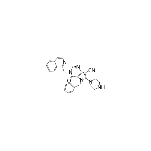 N#Cc1c(N2CCNCC2)n(Cc2ccccc2)c2c(=O)n(Cc3nccc4ccccc34)cnc12